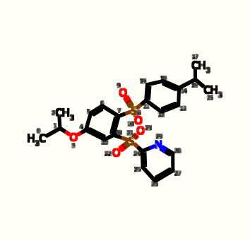 CC(C)Oc1ccc(S(=O)(=O)c2ccc(C(C)C)cc2)c(S(=O)(=O)c2ccccn2)c1